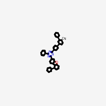 N#Cc1ccc(-c2ccc(-c3nc(-c4ccccc4)nc(-c4ccc5c(c4)oc4cccc(-c6ccccc6)c45)n3)cc2)cc1-c1ccccc1